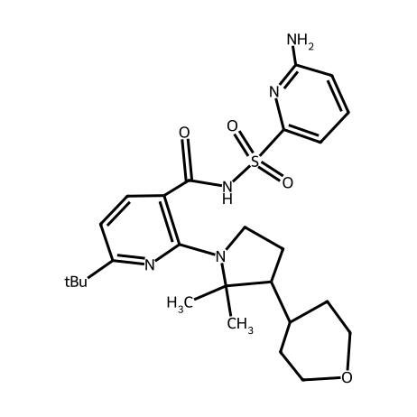 CC(C)(C)c1ccc(C(=O)NS(=O)(=O)c2cccc(N)n2)c(N2CCC(C3CCOCC3)C2(C)C)n1